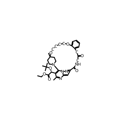 CCOC(=O)[C@@H](OC(C)(C)C)c1c(C)nc2cc3nn2c1N1CCC(C)(CC1)OCCCCOc1ccccc1CC(=O)CNC3=O